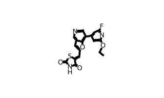 CCOc1cc(-c2cncc3cc(/C=C4\SC(=O)NC4=O)oc23)cc(F)n1